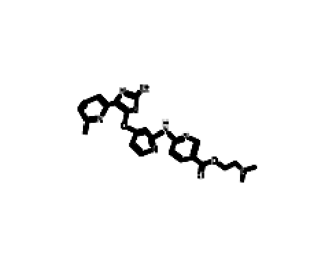 CCc1nc(-c2cccc(C)n2)c(Oc2ccnc(Nc3ccc(C(=O)OCCN(C)C)cn3)c2)s1